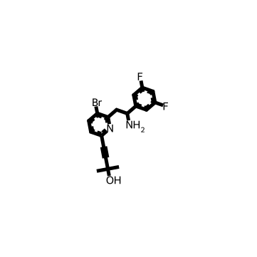 CC(C)(O)C#Cc1ccc(Br)c(CC(N)c2cc(F)cc(F)c2)n1